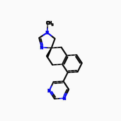 CN1C=N[C@]2(CCc3c(cccc3-c3cncnc3)C2)C1